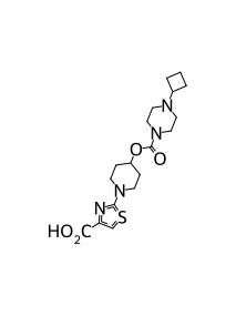 O=C(O)c1csc(N2CCC(OC(=O)N3CCN(C4CCC4)CC3)CC2)n1